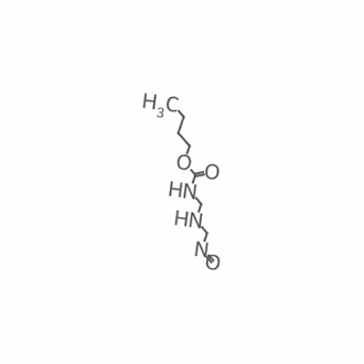 CCCCOC(=O)NCNCN=O